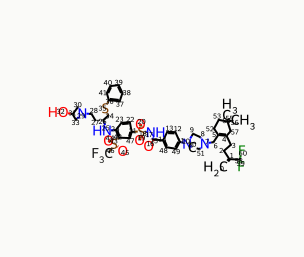 C=C(CCC1=C(CN2CCN(c3ccc(C(=O)NS(=O)(=O)c4ccc(N[C@H](CCN5CC(O)C5)CSc5ccccc5)c(S(=O)(=O)C(F)(F)F)c4)cc3)CC2)CCC(C)(C)C1)C(F)F